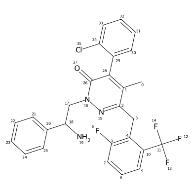 Cc1c(Cc2c(F)cccc2C(F)(F)F)nn(CC(N)c2ccccc2)c(=O)c1-c1ccccc1Cl